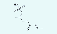 CC=CC(=O)OCC(C)CS(=O)(=O)O